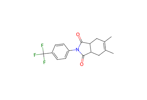 CC1=C(C)CC2C(=O)N(c3ccc(C(F)(F)F)cc3)C(=O)C2C1